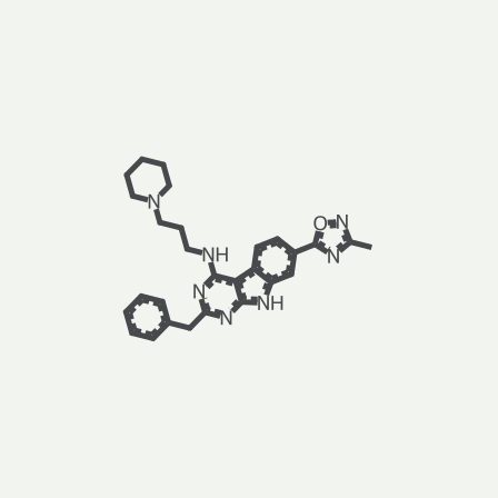 Cc1noc(-c2ccc3c(c2)[nH]c2nc(Cc4ccccc4)nc(NCCCN4CCCCC4)c23)n1